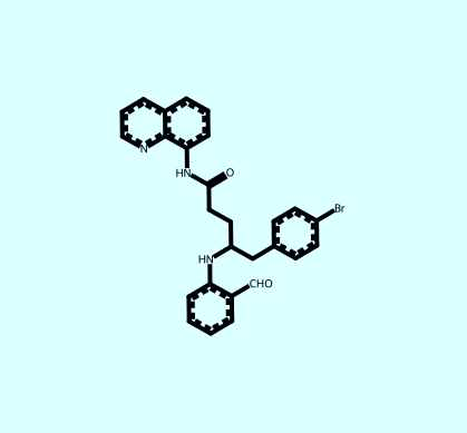 O=Cc1ccccc1NC(CCC(=O)Nc1cccc2cccnc12)Cc1ccc(Br)cc1